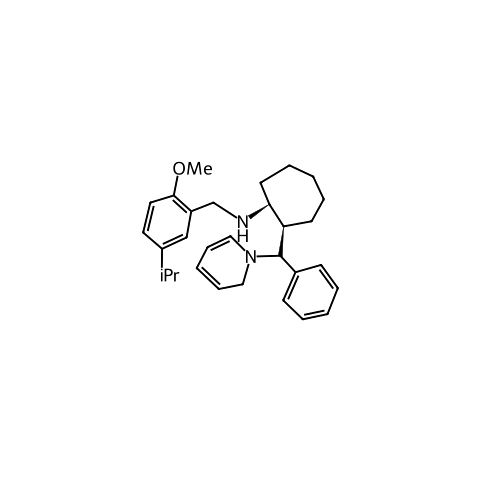 COc1ccc(C(C)C)cc1CN[C@H]1CCCCC[C@H]1C(c1ccccc1)N1C=CC=CC1